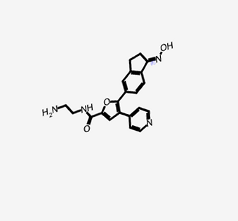 NCCNC(=O)c1cc(-c2ccncc2)c(-c2ccc3c(c2)CC/C3=N\O)o1